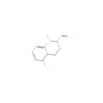 Cc1cccc2c1C=CC(C=O)N2C